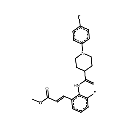 C=C(Nc1c(F)cccc1/C=C/C(=O)OC)C1CCN(c2ccc(F)cc2)CC1